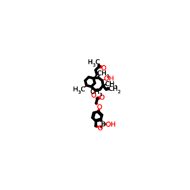 C=C[C@]1(C)C[C@@H](OC(=O)COc2ccc3c(c2)B(O)OC3)[C@@]2(C)C[C@](CCC(C)=O)(CC[C@H]2C)[C@@H](C)[C@@H]1O